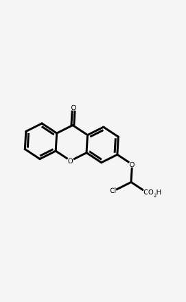 O=C(O)C(Cl)Oc1ccc2c(=O)c3ccccc3oc2c1